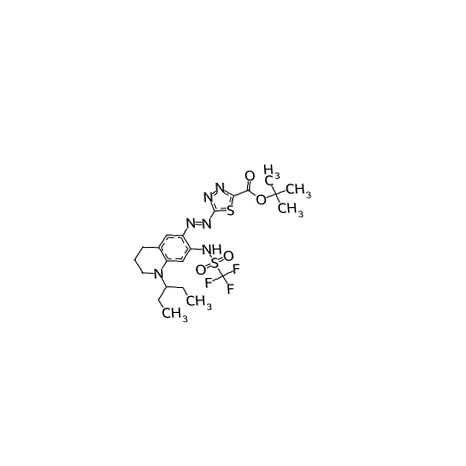 CCC(CC)N1CCCc2cc(N=Nc3nnc(C(=O)OC(C)(C)C)s3)c(NS(=O)(=O)C(F)(F)F)cc21